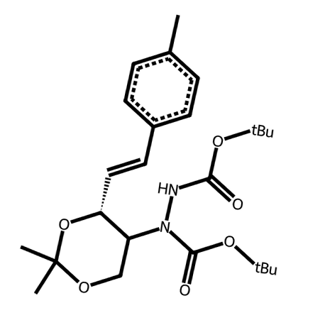 Cc1ccc(/C=C/[C@H]2OC(C)(C)OCC2N(NC(=O)OC(C)(C)C)C(=O)OC(C)(C)C)cc1